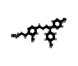 O=C(O)COc1ccc(SCC=C(c2ccc(Br)cc2)c2ccc(Br)cc2)cc1Br